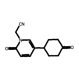 N#CCn1cc(C2CCC(=O)CC2)ccc1=O